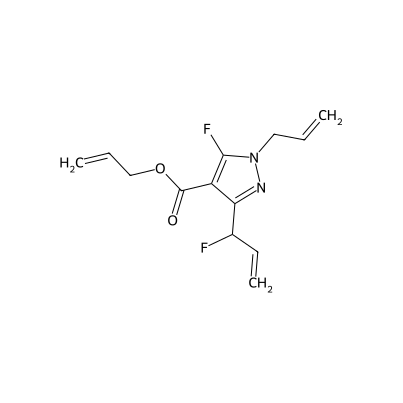 C=CCOC(=O)c1c(C(F)C=C)nn(CC=C)c1F